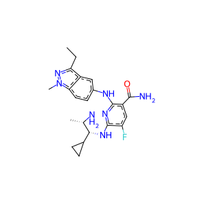 CCc1nn(C)c2ccc(Nc3nc(N[C@H](C4CC4)[C@H](C)N)c(F)cc3C(N)=O)cc12